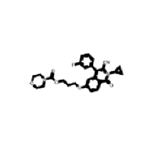 N#Cc1c(-c2cccc(F)c2)c2cc(OCCCOC(=O)N3CCOCC3)ccc2c(=O)n1C1CC1